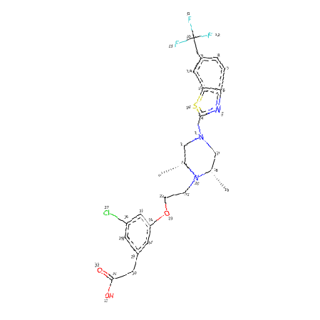 C[C@@H]1CN(c2nc3ccc(C(F)(F)F)cc3s2)C[C@H](C)N1CCOc1cc(Cl)cc(CC(=O)O)c1